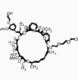 COC1C(=O)[C@H](C)C[C@H](C)/C=C/C=C/C=C(\C)[C@@H](OCCOCCOCC(F)(F)F)C[C@@H]2CC[C@@H](C)[C@@](O)(O2)C(=O)C(=O)N2CCCC[C@H]2C(=O)O[C@H]([C@H](C)C[C@@H]2CC[C@@H](OCCO)[C@H](OC)C2)CC(=O)[C@H](C)/C=C(\C)[C@H]1O